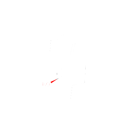 Cc1cccc2c1[C@H](O)C(C)C(C)C2